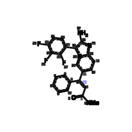 CNC(=O)/C=C(\c1ccccc1)c1ccc2nc(N)c(-c3ccc(F)c(F)c3F)n2c1